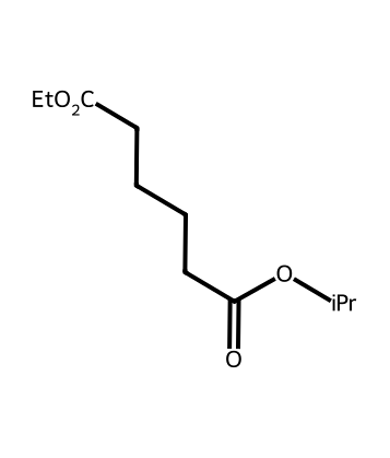 CCOC(=O)CCCCC(=O)OC(C)C